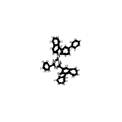 c1ccc(-c2ccc3c(c2)c2c4ccccc4ccc2n3-c2nc(-c3ccccc3)nc(-c3cc4ccccc4c4c3sc3ccccc34)n2)cc1